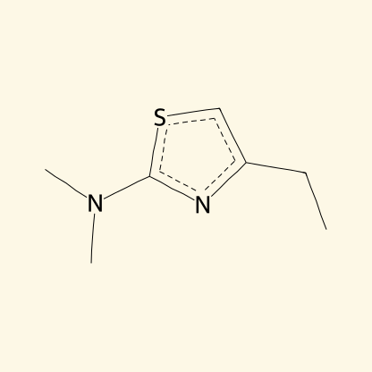 CCc1csc(N(C)C)n1